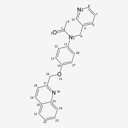 CC(=O)N(Cc1cccnc1)c1ccc(OCc2ccc3ccccc3n2)cc1